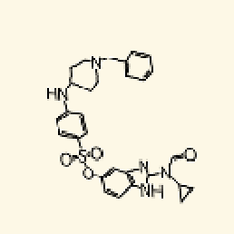 O=CN(c1nc2cc(OS(=O)(=O)c3ccc(NC4CCN(Cc5ccccc5)CC4)cc3)ccc2[nH]1)C1CC1